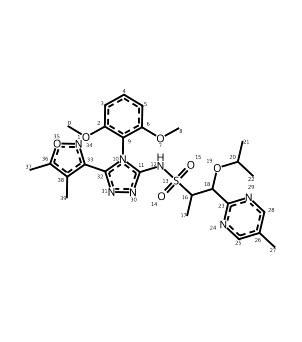 COc1cccc(OC)c1-n1c(NS(=O)(=O)C(C)C(OC(C)C)c2ncc(C)cn2)nnc1-c1noc(C)c1C